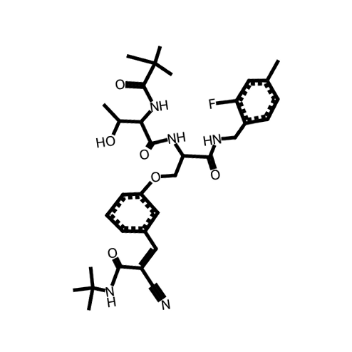 Cc1ccc(CNC(=O)C(COc2cccc(C=C(C#N)C(=O)NC(C)(C)C)c2)NC(=O)C(NC(=O)C(C)(C)C)C(C)O)c(F)c1